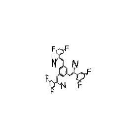 N#C/C(=C\c1cc(/C=C(\C#N)c2cc(F)cc(F)c2)cc(/C=C(\C#N)c2cc(F)cc(F)c2)c1)c1cc(F)cc(F)c1